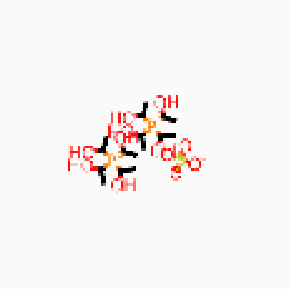 CC(O)[P+](C(C)O)(C(C)O)C(C)O.CC(O)[P+](C(C)O)(C(C)O)C(C)O.O=S(=O)([O-])[O-]